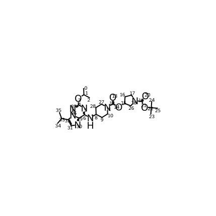 CC(C)Oc1nc(NC2CCN(C(=O)O[C@H]3CCN(C(=O)OC(C)(C)C)C3)CC2)c2ncc(C(C)C)n2n1